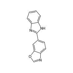 c1ccc2[nH]c(-c3ccc4ncoc4c3)nc2c1